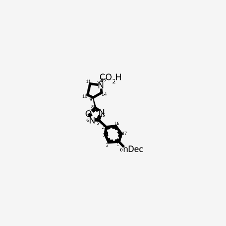 CCCCCCCCCCc1ccc(-c2noc([C@H]3CCN(C(=O)O)C3)n2)cc1